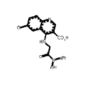 CCCN(CCC)C(=O)CNc1c(C(=O)O)cnc2ccc(Cl)cc12